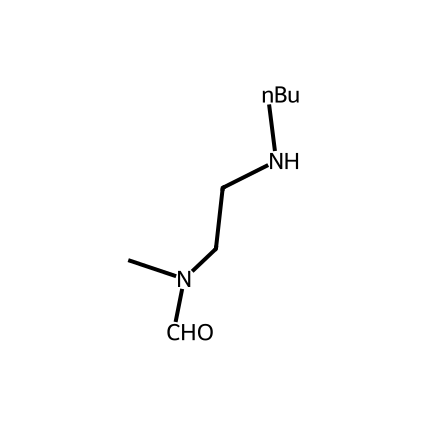 CCCCNCCN(C)C=O